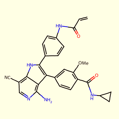 C=CC(=O)Nc1ccc(-c2[nH]c3c(C#N)cnc(N)c3c2-c2ccc(C(=O)NC3CC3)c(OC)c2)cc1